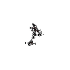 COc1cc(C(=O)OCCCCC(CON(O)O)ON(O)O)ccc1OC(=O)OCC(=O)[C@@]1(OC(=O)CCCON(O)O)C(C)CC2C3CCC4=CC(=O)C=C[C@]4(C)[C@@]3(Cl)[C@@H](O)C[C@@]21C